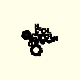 CC(C)N(C(C)C)P(OCCC#N)O[C@H]1CSSCCC[C@@H]1OC(=O)c1ccccc1